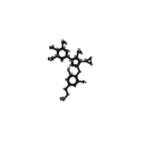 CCOc1cc(F)c(Cn2nc(-c3nc(N)c(O)c(N)n3)c(C)c2C2CC2)c(F)c1